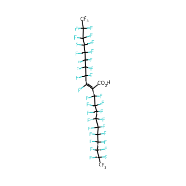 O=C(O)C(=C(F)C(F)(F)C(F)(F)C(F)(F)C(F)(F)C(F)(F)C(F)(F)C(F)(F)C(F)(F)F)C(F)(F)C(F)(F)C(F)(F)C(F)(F)C(F)(F)C(F)(F)C(F)(F)C(F)(F)C(F)(F)C(F)(F)F